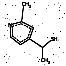 Cc1cc(C(C)S)ccn1